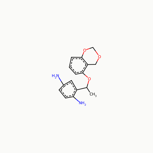 CC(Oc1cccc2c1COCO2)c1cc(N)ccc1N